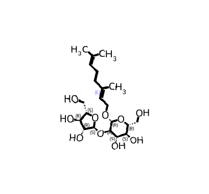 CC(C)=CCC/C(C)=C/CO[C@@H]1O[C@H](CO)[C@@H](O)[C@H](O)[C@H]1O[C@@H]1O[C@@H](CO)[C@H](O)[C@H]1O